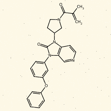 C=C(C)C(=O)N1CCC(n2c(=O)n(-c3cccc(Oc4ccccc4)c3)c3cnccc32)C1